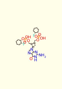 Nc1nc2c(ncn2[C@@H]2C[C@H](COP(=O)(O)Oc3ccccc3F)[C@@H]2COP(=O)(O)Oc2ccccc2F)c(=O)[nH]1